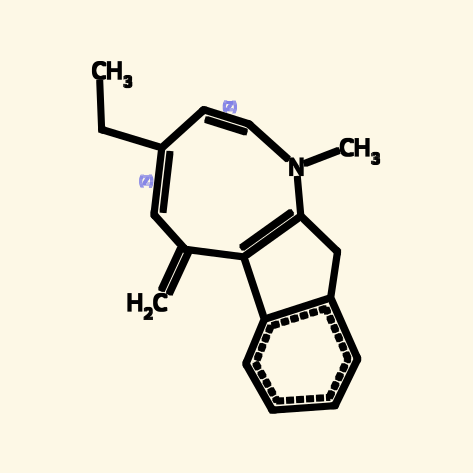 C=C1/C=C(CC)\C=C/N(C)C2=C1c1ccccc1C2